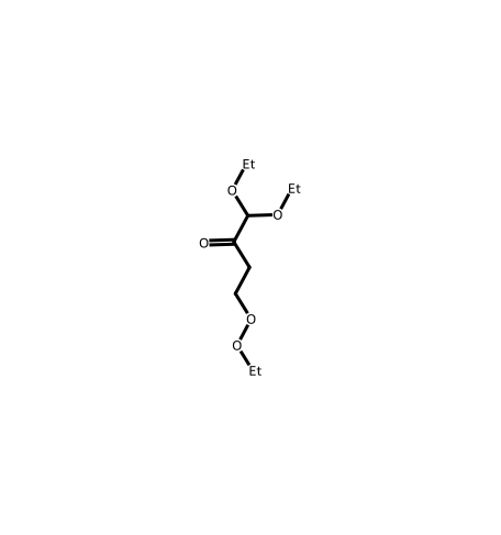 CCOOCCC(=O)C(OCC)OCC